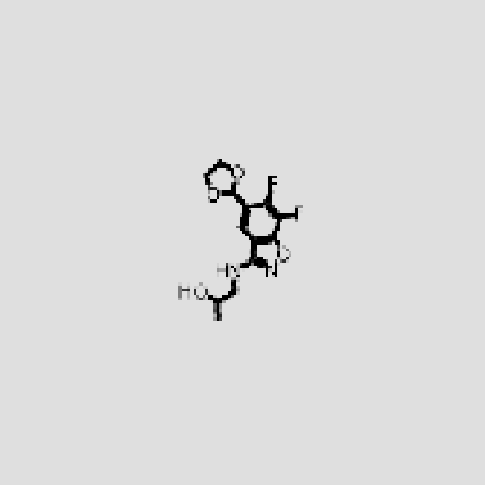 CC(O)CNc1noc2c(F)c(F)c(C3OCCO3)cc12